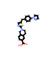 O=C(O)c1ccc2c(c1)CCN(c1ncc(Cc3ccc(-n4cccn4)cc3)s1)C2